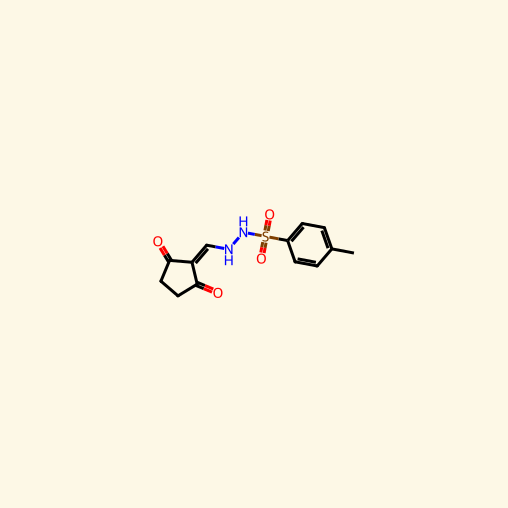 Cc1ccc(S(=O)(=O)NNC=C2C(=O)CCC2=O)cc1